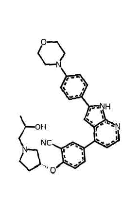 CC(O)CN1CC[C@@H](Oc2ccc(-c3ccnc4[nH]c(-c5ccc(N6CCOCC6)cc5)cc34)cc2C#N)C1